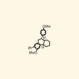 COc1ccc([C@@H]2Cc3cc(C(C)C)c(OC)cc3[C@@H]3CCCC[C@H]23)cc1